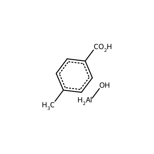 Cc1ccc(C(=O)O)cc1.[OH][AlH2]